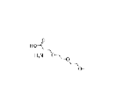 COCCOCCOC[C@H](N)C(=O)O